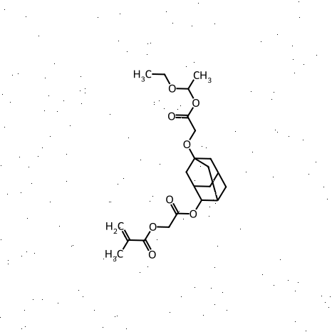 C=C(C)C(=O)OCC(=O)OC1C2CC3CC1CC(OCC(=O)OC(C)OCC)(C3)C2